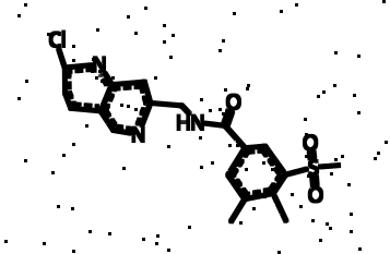 Cc1cc(C(=O)NCc2cc3nc(Cl)ccc3cn2)cc(S(C)(=O)=O)c1C